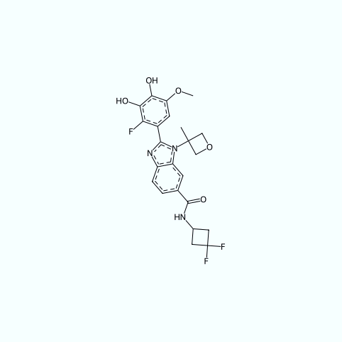 COc1cc(-c2nc3ccc(C(=O)NC4CC(F)(F)C4)cc3n2C2(C)COC2)c(F)c(O)c1O